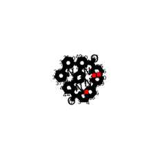 O=c1c2ccccc2n2c3c(-n4c5ccccc5c5ccccc54)c4c(c(-n5c6ccccc6c6ccccc65)c3c3cccc1c32)c1cccc2c(=O)c3ccccc3n4c21